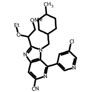 CCOC(COC)c1nc2cc(C#N)nc(-c3cncc(Cl)c3)c2n1CC1CCC(C)CC1